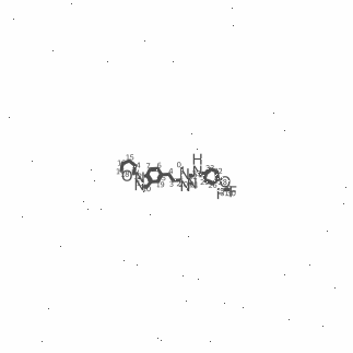 Cn1c(CCc2ccc3c(cnn3C3CCCCO3)c2)nnc1Nc1ccc(OC(F)F)cc1